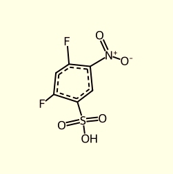 O=[N+]([O-])c1cc(S(=O)(=O)O)c(F)cc1F